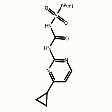 CCCCCS(=O)(=O)NC(=O)Nc1nccc(C2CC2)n1